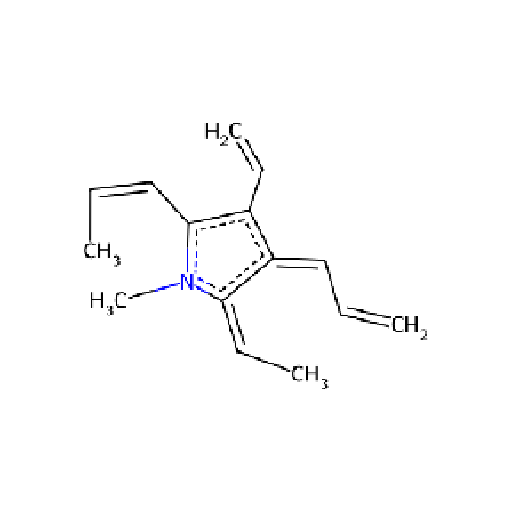 C=C/C=c1/c(C=C)c(/C=C\C)n(C)/c1=C/C